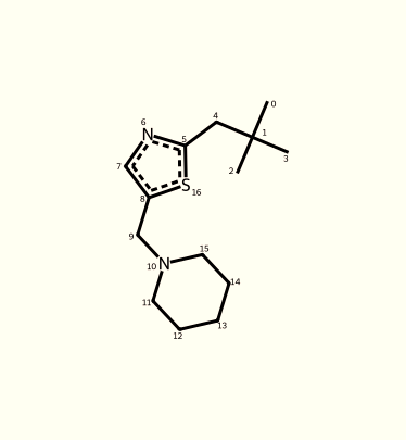 CC(C)(C)Cc1ncc(CN2CCCCC2)s1